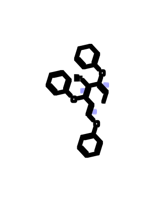 C\C=C(OC1=CCCC=C1)/C(Br)=C(\C=C\Oc1ccccc1)Oc1ccccc1